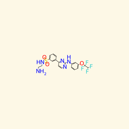 NCCNS(=O)(=O)c1cccc(-c2ccnc(Nc3cccc(OC(F)(F)C(F)F)c3)n2)c1